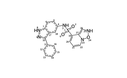 O=S(=O)(Nc1ccc2[nH]nc(-c3ccccc3)c2c1)C1=CC=CN2ONC=C12